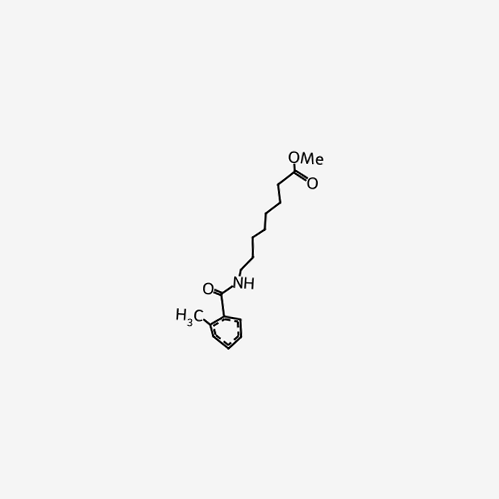 COC(=O)CCCCCCCNC(=O)c1ccccc1C